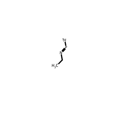 [3H]/P=N/CC